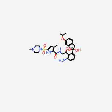 Cc1cc(S(=O)(=O)N2CCN(C)CC2)[nH]c1C(=O)NCC(=O)c1c(N)cccc1[C@@]1(O)Cc2ccc(OC(C)C)cc2O1